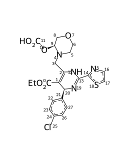 CCOC(=O)C1=C(CN2CCOC[C@@H]2OC(=O)O)NC(c2nccs2)=N[C@H]1c1ccc(Cl)cc1